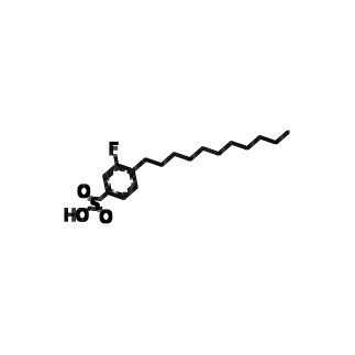 CCCCCCCCCCCc1ccc(S(=O)(=O)O)cc1F